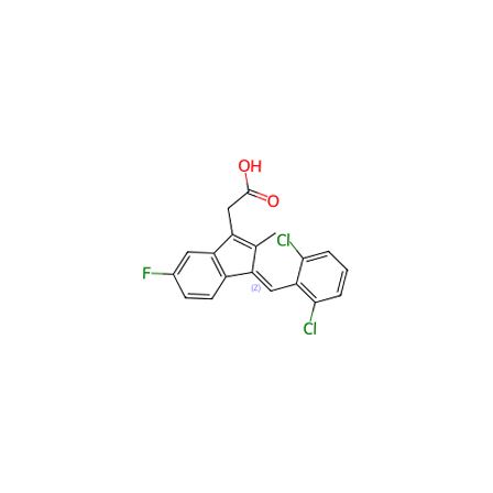 CC1=C(CC(=O)O)c2cc(F)ccc2/C1=C/c1c(Cl)cccc1Cl